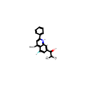 COc1cc(-c2ccccc2)nc2cc(C(=O)C(C#N)C#N)cc(F)c12